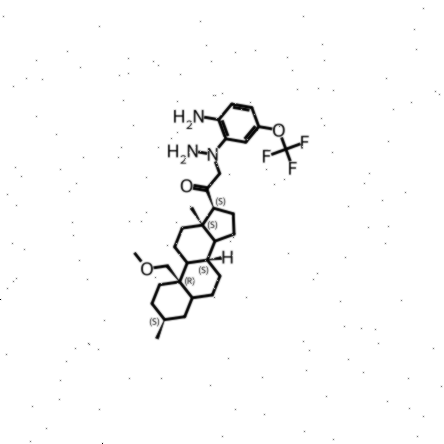 COC[C@]12CC[C@H](C)CC1CC[C@@H]1C2CC[C@@]2(C)C1CC[C@@H]2C(=O)CN(N)c1cc(OC(F)(F)F)ccc1N